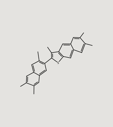 Cc1cc2cc(C)c(-c3sc4cc5cc(C)c(C)cc5cc4c3C)cc2cc1C